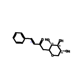 O=C(/C=C/c1ccccc1)CC1OC[C@@H](O)[C@H](O)[C@H]1O